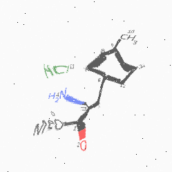 COC(=O)[C@@H](N)Cc1ccc(C)cc1.Cl